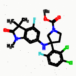 CN1C(=O)C(C)(C)c2c(F)cc(NC3(c4c(F)ccc(Cl)c4Cl)CCN(C(=O)OC(C)(C)C)C3)cc21